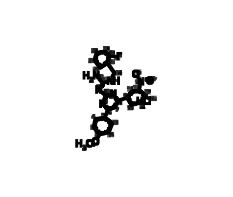 COc1ccc(-c2cc(-c3cccc([N+](=O)[O-])c3)nc(N=C(N)NCc3ccccc3F)n2)cc1.Cl